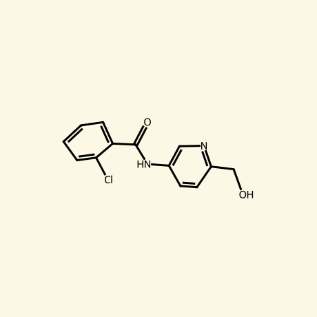 O=C(Nc1ccc(CO)nc1)c1ccccc1Cl